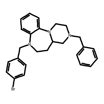 Brc1ccc(CN2CCC3CN(Cc4ccccc4)CCN3c3ccccc32)cc1